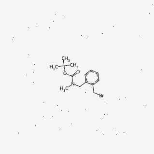 CN(Cc1ccccc1CBr)C(=O)OC(C)(C)C